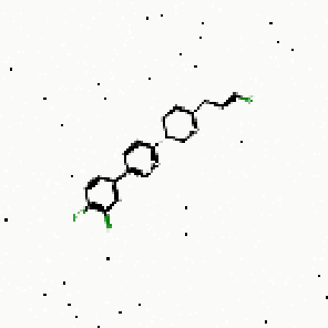 FC=CC[C@H]1CC[C@H](c2ccc(-c3ccc(F)c(F)c3)cc2)CC1